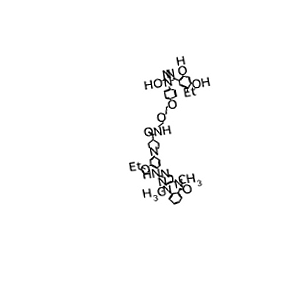 CCOc1cc(N2CCC(C(=O)NCCOCCOc3ccc(-n4c(O)nnc4-c4cc(CC)c(O)cc4O)cc3)CC2)ccc1Nc1ncc2c(n1)N(C)c1ccccc1C(=O)N2C